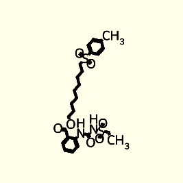 CCS(=O)(=O)NC(=O)Nc1ccccc1C(=O)OCCCCCCCCCS(=O)(=O)c1ccc(C)cc1